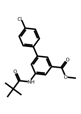 COC(=O)c1cc(NC(=O)C(C)(C)C)cc(-c2ccc(Cl)cc2)c1